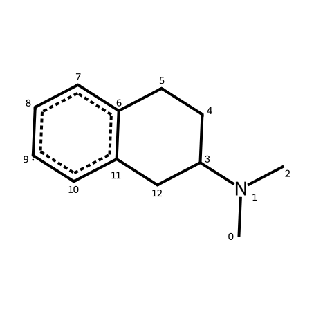 CN(C)C1CCc2cc[c]cc2C1